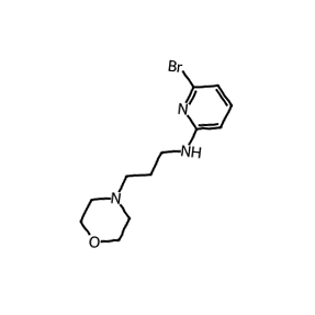 Brc1cccc(NCCCN2CCOCC2)n1